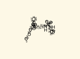 COCCOCCOCCN(OCC1CCCCC1)S(=O)(=O)CCCCCCNc1c(NCc2cccnc2)c(=O)c1=O